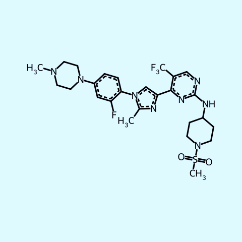 Cc1nc(-c2nc(NC3CCN(S(C)(=O)=O)CC3)ncc2C(F)(F)F)cn1-c1ccc(N2CCN(C)CC2)cc1F